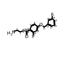 NCCNC(=O)c1ccc(OCc2cccc(F)c2)cc1F